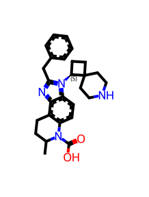 CC1CCc2c(ccc3c2nc(Cc2ccccc2)n3[C@H]2CCC23CCNCC3)N1C(=O)O